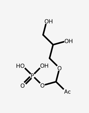 CC(=O)C(OCC(O)CO)OP(=O)(O)O